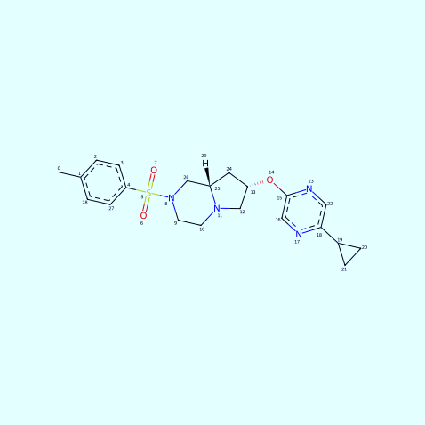 Cc1ccc(S(=O)(=O)N2CCN3C[C@@H](Oc4cnc(C5CC5)cn4)C[C@H]3C2)cc1